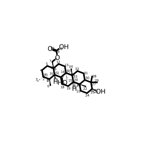 C[C@H]1[C@H](C)CC[C@]2(COC(=O)O)CC[C@]3(CO)C(=CC[C@@H]4[C@@]5(C)CC[C@H](O)C(C)(C)C5CC[C@]43C)[C@H]12